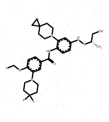 C[C@@H](CO)SNc1ccc(NC(=O)c2ccc(OCF)c(N3CCC(F)(F)CC3)c2)c(N2CCC3(CC2)CC3)c1